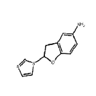 Nc1ccc2c(c1)CC(n1ccnc1)O2